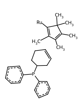 C1=CCC(P(c2ccccc2)c2ccccc2)CC1.CC1=C(C)C(C)(C)[C]([Ru])=C1C